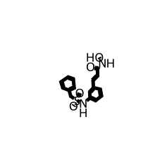 O=C(/C=C/c1cccc(NS(=O)(=O)Cc2ccccc2)c1)NO